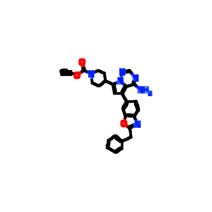 CC(C)(C)OC(=O)N1CCC(c2cc(-c3ccc4nc(Cc5ccccc5)oc4c3)c3c(N)ncnn23)CC1